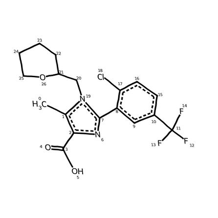 Cc1c(C(=O)O)nc(-c2cc(C(F)(F)F)ccc2Cl)n1CC1CCCCO1